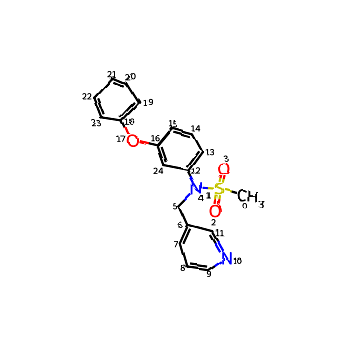 CS(=O)(=O)N(Cc1cccnc1)c1cccc(Oc2ccccc2)c1